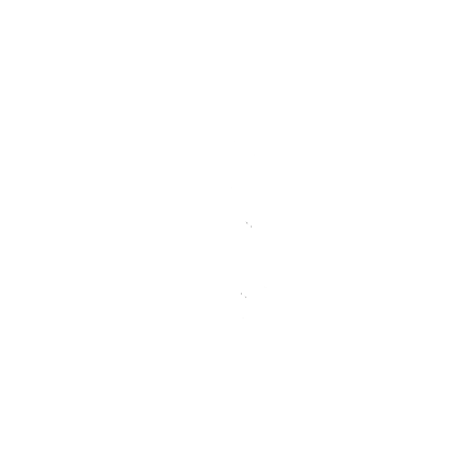 O=C1c2ccccc2C(=O)N1Cc1cnc(-c2ccc(Cl)cc2)c(-c2ccccc2Cl)c1